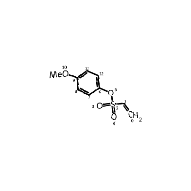 C=CS(=O)(=O)Oc1ccc(OC)cc1